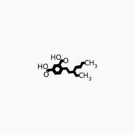 CCC=CC(CC)CCc1ccc(C(=O)O)cc1C(=O)O